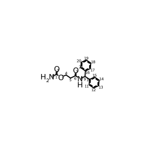 NC(=O)OCCC(=O)NC(c1ccccc1)c1ccccc1